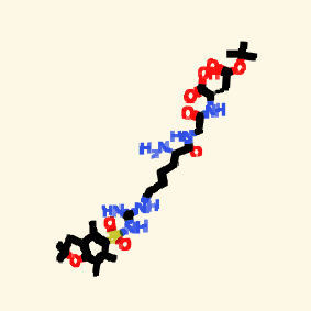 Cc1c(C)c(S(=O)(=O)NC(=N)NCCCC[C@H](N)C(=O)NCC(=O)N[C@@H](CC(=O)OC(C)(C)C)C(=O)O)c(C)c2c1OC(C)(C)C2